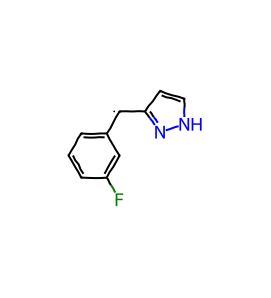 Fc1cccc([CH]c2cc[nH]n2)c1